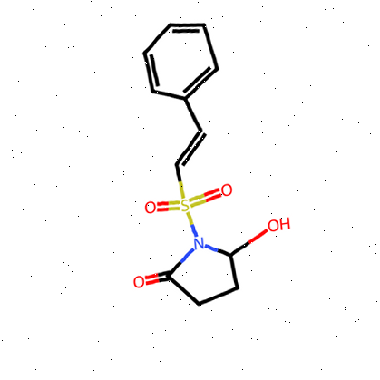 O=C1CCC(O)N1S(=O)(=O)C=Cc1ccccc1